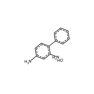 Cl.Nc1ccc(-c2ccccc2)c(N)c1